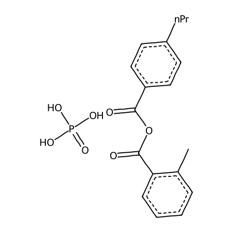 CCCc1ccc(C(=O)OC(=O)c2ccccc2C)cc1.O=P(O)(O)O